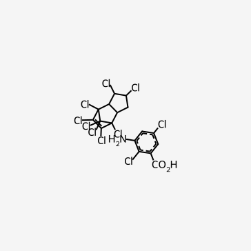 ClC1=C(Cl)C2(Cl)C3C(Cl)C(Cl)CC3C1(Cl)C2(Cl)Cl.Nc1cc(Cl)cc(C(=O)O)c1Cl